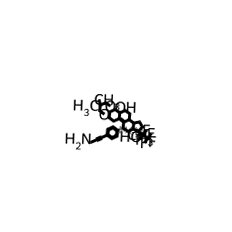 CC1(C)COC2(CCC3=C4C(CCC3(O)C2)C2CC[C@@](O)(C(F)(F)C(F)(F)F)[C@@]2(C)C[C@@H]4c2ccc(C#CCN)cc2)OC1